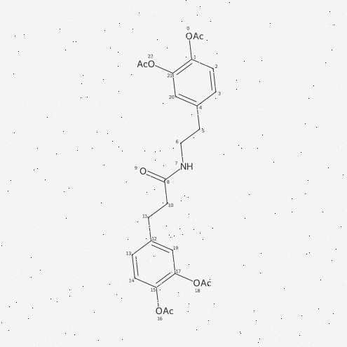 CC(=O)Oc1ccc(CCNC(=O)CCc2ccc(OC(C)=O)c(OC(C)=O)c2)cc1OC(C)=O